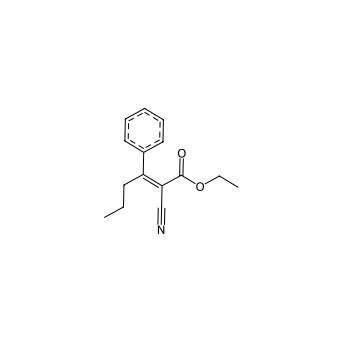 CCCC(=C(C#N)C(=O)OCC)c1ccccc1